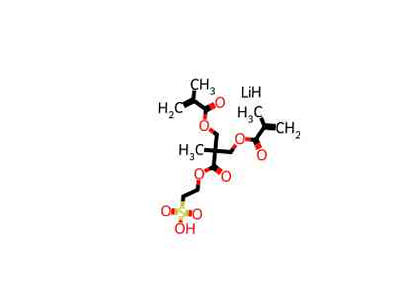 C=C(C)C(=O)OCC(C)(COC(=O)C(=C)C)C(=O)OCCS(=O)(=O)O.[LiH]